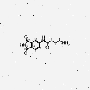 NCCCC(=O)Nc1ccc2c(c1)C(=O)NC2=O